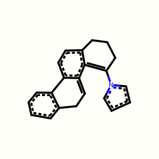 C1=c2c(ccc3c2=C(n2cccc2)CCC3)-c2ccccc2C1